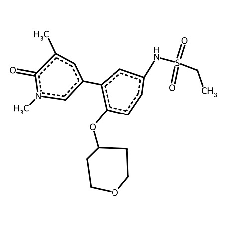 CCS(=O)(=O)Nc1ccc(OC2CCOCC2)c(-c2cc(C)c(=O)n(C)c2)c1